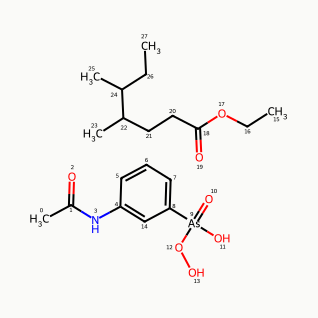 CC(=O)Nc1cccc([As](=O)(O)OO)c1.CCOC(=O)CCC(C)C(C)CC